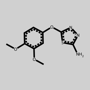 COc1ccc(Oc2nnc(N)s2)cc1OC